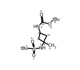 CC1(NS(=O)(=O)C(C)(C)C)CC(NC(=O)OC(C)(C)C)C1